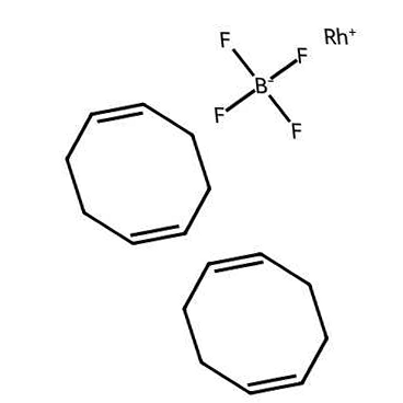 C1=C\CC/C=C\CC/1.C1=C\CC/C=C\CC/1.F[B-](F)(F)F.[Rh+]